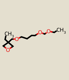 CCOCOCCCCOCC1(CC)COC1